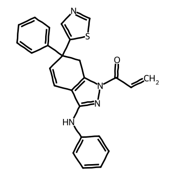 C=CC(=O)n1nc(Nc2ccccc2)c2c1CC(c1ccccc1)(c1cncs1)C=C2